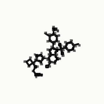 COCOC1(c2ncc(-c3c(Cl)cnc4c3cc(-c3ccc(N)c(C)c3)n4S(=O)(=O)c3ccc(C)cc3)s2)CCC1